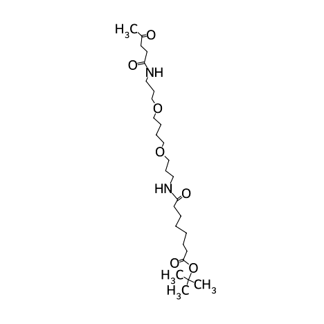 CC(=O)CCC(=O)NCCCOCCCCOCCCNC(=O)CCCCCCC(=O)OC(C)(C)C